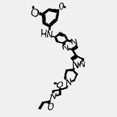 C=CC(=O)N1CC(CN2CCC(n3cc(-c4cnc5ccc(Nc6cc(OC)cc(OC)c6)cc5n4)cn3)CC2)(OC)C1